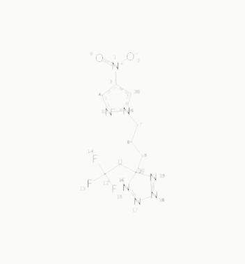 O=[N+]([O-])c1cnn(CCCC2(CC(F)(F)F)N=NN=N2)c1